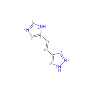 C(=Cc1cnc[nH]1)c1cn[nH]c1